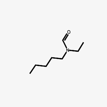 CCCCCN(C=O)CC